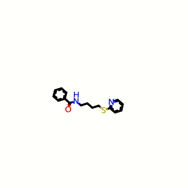 O=C(NCCCCSc1ccccn1)c1ccccc1